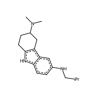 CC(C)CNc1ccc2[nH]c3c(c2c1)CC(N(C)C)CC3